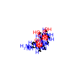 CC(C)C[C@H](NC(=O)CNC(=O)[C@H](C)NC(=O)[C@H](CC(=O)O)NC(=O)[C@H](CC(=O)O)NC(=O)[C@H](C)NC(=O)[C@@H]1CCCN1)C(=O)N[C@H](C(=O)N[C@@H](CCCNC(=N)N)C(=O)N1CCC[C@H]1C(=O)O)C(C)C